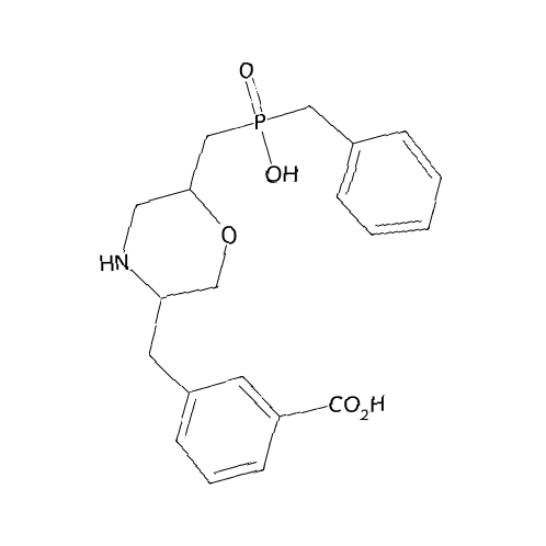 O=C(O)c1cccc(CC2COC(CP(=O)(O)Cc3ccccc3)CN2)c1